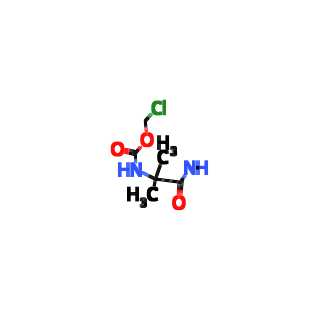 CC(C)(NC(=O)OCCl)C([NH])=O